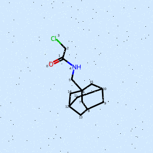 O=C(CCl)NCC12CC3CC(CC(C3)C1)C2